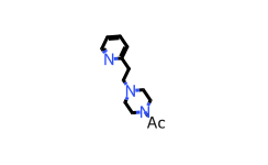 CC(=O)N1CCN(CCc2ccccn2)CC1